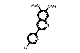 CCc1ccc(-c2cnc3cc(OC)c(OC)cc3c2)nc1